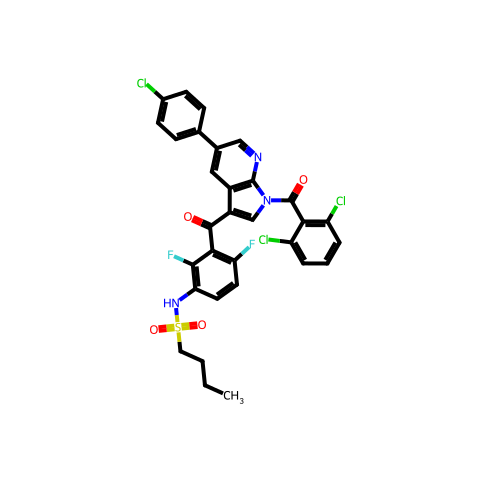 CCCCS(=O)(=O)Nc1ccc(F)c(C(=O)c2cn(C(=O)c3c(Cl)cccc3Cl)c3ncc(-c4ccc(Cl)cc4)cc23)c1F